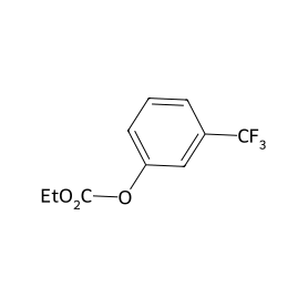 CCOC(=O)Oc1cccc(C(F)(F)F)c1